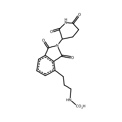 O=C(O)NCCCc1cccc2c1C(=O)N(C1CCC(=O)NC1=O)C2=O